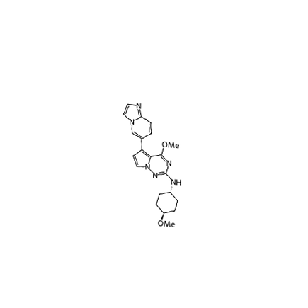 COc1nc(N[C@H]2CC[C@H](OC)CC2)nn2ccc(-c3ccc4nccn4c3)c12